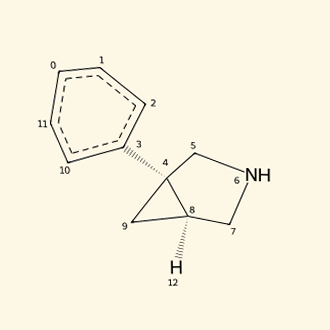 c1ccc([C@]23CNC[C@H]2C3)cc1